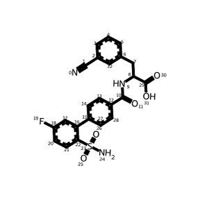 N#Cc1cccc(CC(NC(=O)c2ccc(-c3cc(F)ccc3S(N)(=O)=O)cc2)C(=O)O)c1